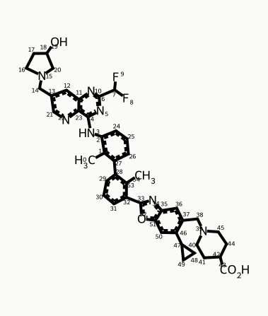 Cc1c(Nc2nc(C(F)F)nc3cc(CN4CCC(O)C4)cnc23)cccc1-c1cccc(-c2nc3cc(CN4CCC(C(=O)O)CC4)c(C4CC4)cc3o2)c1C